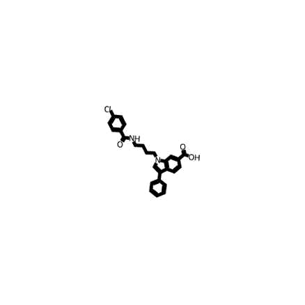 O=C(O)c1ccc2c(-c3ccccc3)cn(CCCCNC(=O)c3ccc(Cl)cc3)c2c1